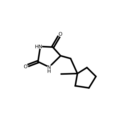 CC1(CC2NC(=O)NC2=O)CCCC1